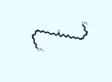 CCCC/C=C\C/C=C\CCCCCCCCC(=O)CCCCCCC/C=C\C/C=C\CCCCC